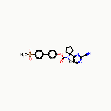 CN(C(=O)Oc1ccc(-c2ccc(S(C)(=O)=O)cc2)cc1)C1(c2ccnc(C#N)n2)CCCC1